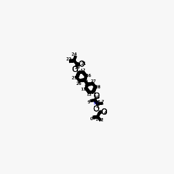 C=C(C)C(=O)O/C(C)=C(\C)Oc1ccc(-c2ccc(OC(=O)C(=C)C)cc2)cc1